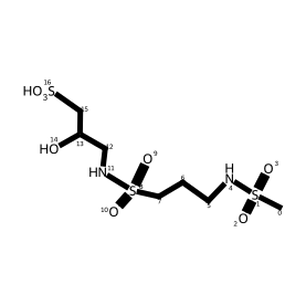 CS(=O)(=O)NCCCS(=O)(=O)NCC(O)CS(=O)(=O)O